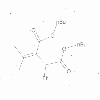 CCCCOC(=O)C(=C(C)C)C(CC)C(=O)OCCCC